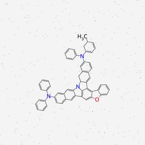 CC1C=CC=C(N(c2ccccc2)c2ccc3c(c2)CC2C(=C3)c3c4c(cc5c6cc7ccc(N(c8ccccc8)c8ccccc8)cc7cc6n2c35)oc2ccccc24)C1